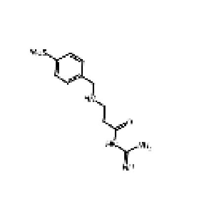 CSc1ccc(CNCCC(=O)NC(=N)N)cc1